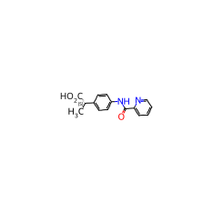 C[C@H](C(=O)O)c1ccc(NC(=O)c2ccccn2)cc1